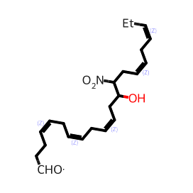 CC/C=C\C/C=C\CC(C(O)C/C=C\C/C=C\C/C=C\CC[C]=O)[N+](=O)[O-]